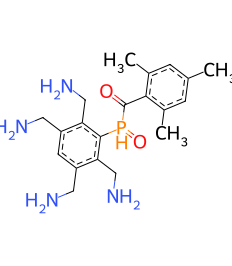 Cc1cc(C)c(C(=O)[PH](=O)c2c(CN)c(CN)cc(CN)c2CN)c(C)c1